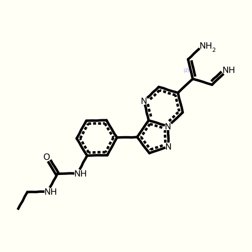 CCNC(=O)Nc1cccc(-c2cnn3cc(/C(C=N)=C/N)cnc23)c1